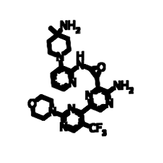 CC1(N)CCN(c2cccnc2NC2OC2c2nc(-c3nc(N4CCOCC4)ncc3C(F)(F)F)cnc2N)CC1